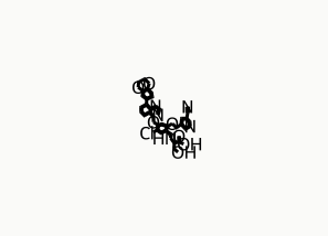 N#Cc1cncc(COc2cc(Oc3ncnc4c(-c5ccc6c(c5)OCCO6)cccc34)c(Cl)cc2CNC(CO)C(=O)O)c1